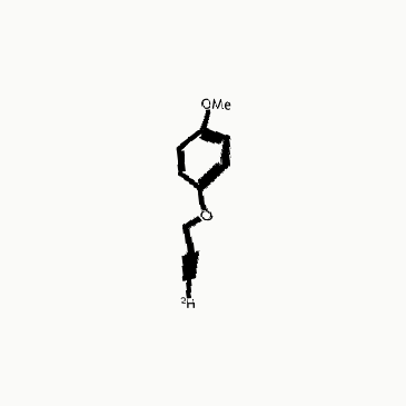 [2H]C#CCOc1ccc(OC)cc1